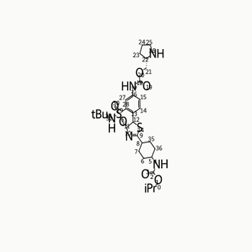 CC(C)OC(=O)NC1CCC(C2=NCC(c3ccc(NC(=O)OC[C@@H]4CCCN4)cc3S(=O)(=O)NC(C)(C)C)S2)CC1